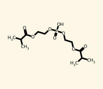 CC(C)C(=O)OCCOP(=O)(O)OCCOC(=O)C(C)C